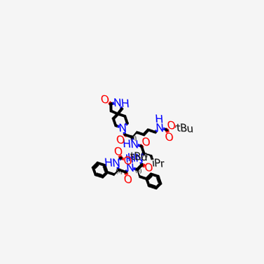 CC(C)C[C@@H](NC(=O)[C@@H](Cc1ccccc1)NC(=O)[C@@H](Cc1ccccc1)NC(=O)OC(C)(C)C)C(=O)N[C@H](CCCCNC(=O)OC(C)(C)C)C(=O)N1CCC2(CC1)CNC(=O)C2